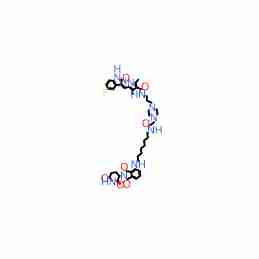 Cc1[nH]c(C=C2C(=O)Nc3ccc(F)cc32)c(C)c1C(=O)NCCCN1CCN(CC(=O)NCCCCCCCCNc2cccc3c2C(=O)N(C2CCC(=O)NC2=O)C3=O)CC1